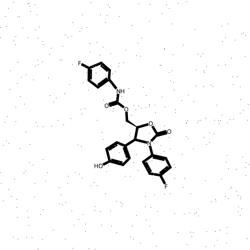 O=C(Nc1ccc(F)cc1)OC[C@H]1OC(=O)N(c2ccc(F)cc2)C1c1ccc(O)cc1